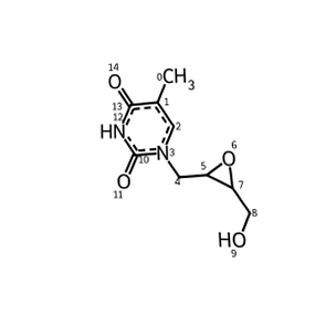 Cc1cn(CC2OC2CO)c(=O)[nH]c1=O